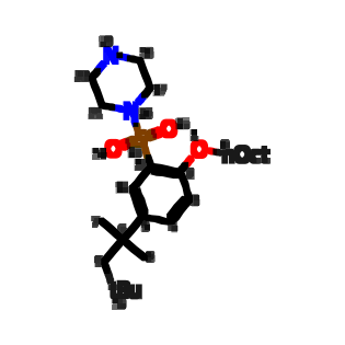 CCCCCCCCOc1ccc(C(C)(C)CC(C)(C)C)cc1S(=O)(=O)N1CC[N]CC1